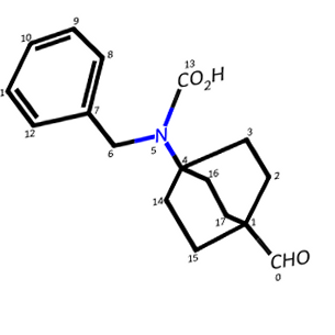 O=CC12CCC(N(Cc3ccccc3)C(=O)O)(CC1)CC2